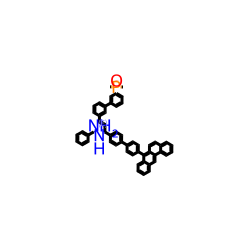 CP(C)(=O)c1cccc(-c2cccc(/C=C/C(NC(N)c3ccccc3)c3ccc(-c4ccc(-c5c6ccccc6cc6c5ccc5ccccc56)cc4)cc3)c2)c1